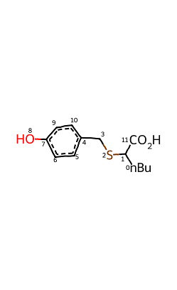 CCCCC(SCc1ccc(O)cc1)C(=O)O